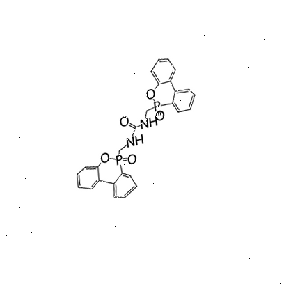 O=C(NCP1(=O)Oc2ccccc2-c2ccccc21)NCP1(=O)Oc2ccccc2-c2ccccc21